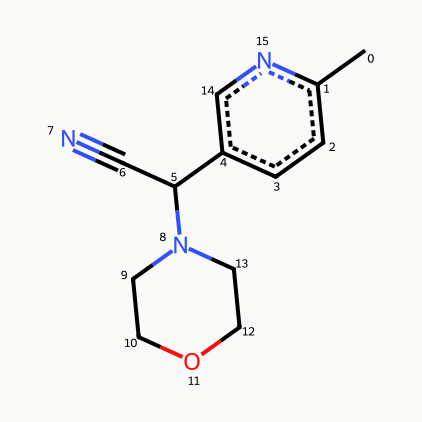 Cc1ccc(C(C#N)N2CCOCC2)cn1